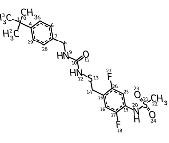 CC(C)(C)c1ccc(CNC(=O)NSCc2cc(F)c(NS(C)(=O)=O)cc2F)cc1